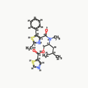 Cc1nc(C(=O)N(C)C(COC(=O)c2cncs2)CC(C)C)c(-c2ccccc2)s1